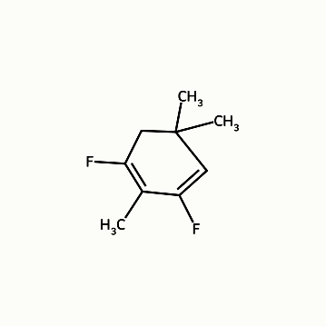 CC1=C(F)CC(C)(C)C=C1F